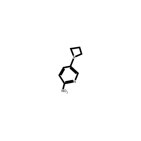 O=[N+]([O-])c1ccc(N2CCC2)cn1